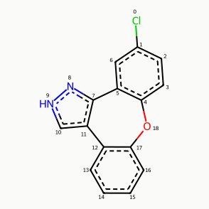 Clc1ccc2c(c1)-c1n[nH]cc1-c1ccccc1O2